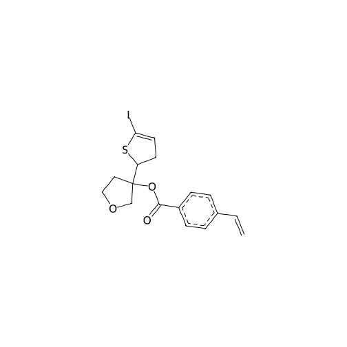 C=Cc1ccc(C(=O)OC2(C3CC=C(I)S3)CCOC2)cc1